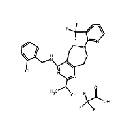 CC(C)c1nc2c(c(NCc3ccccc3Cl)n1)CCN(c1ncccc1C(F)(F)F)CC2.O=C(O)C(F)(F)F